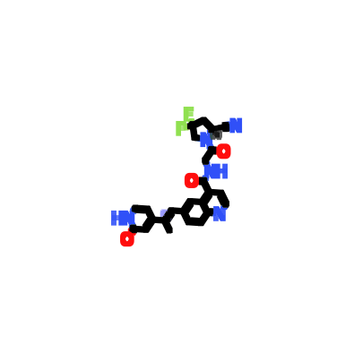 C/C(=C\c1ccc2nccc(C(=O)NCC(=O)N3CC(F)(F)C[C@H]3C#N)c2c1)c1cc[nH]c(=O)c1